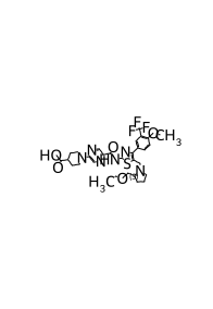 CCOC[C@@H]1CCCN1Cc1sc(NC(=O)c2cnc(N3CCC(C(=O)O)CC3)cn2)nc1-c1ccc(OC)c(C(F)(F)F)c1